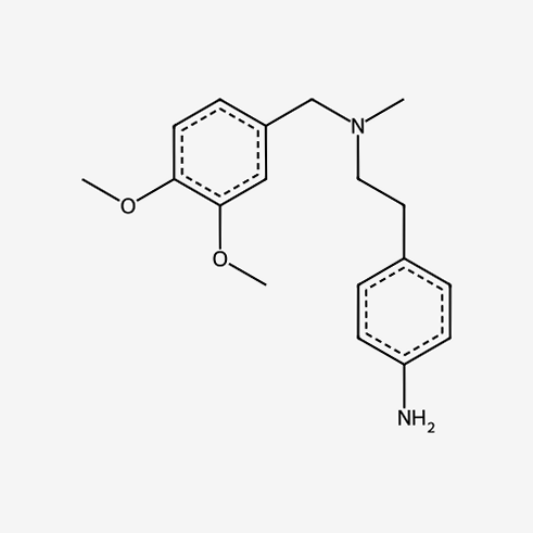 COc1ccc(CN(C)CCc2ccc(N)cc2)cc1OC